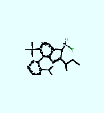 CCC(C)C1=Cc2c(ccc(C(C)(C)C)c2-c2ccccc2C(C)C)[CH]1[Zr]([Cl])[Cl]